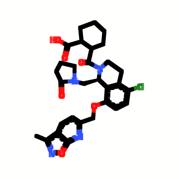 Cc1noc2nc(COc3ccc(Cl)c4c3[C@@H](CN3CCCC3=O)N(C(=O)C3CCCCC3C(=O)O)CC4)ccc12